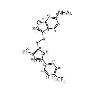 CC(=O)Nc1ccc2c(CCc3sc(-c4ccc(C(F)(F)F)cc4)nc3C(C)C)noc2c1